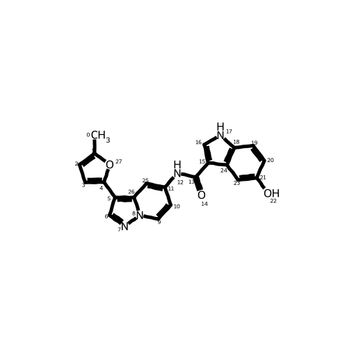 Cc1ccc(-c2cnn3ccc(NC(=O)c4c[nH]c5ccc(O)cc45)cc23)o1